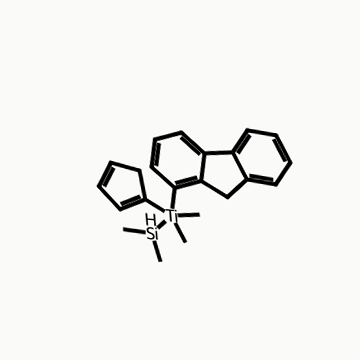 C[SiH](C)[Ti]([CH3])([CH3])([C]1=CC=CC1)[c]1cccc2c1Cc1ccccc1-2